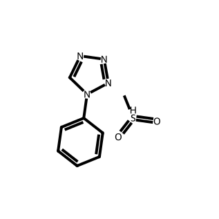 C[SH](=O)=O.c1ccc(-n2cnnn2)cc1